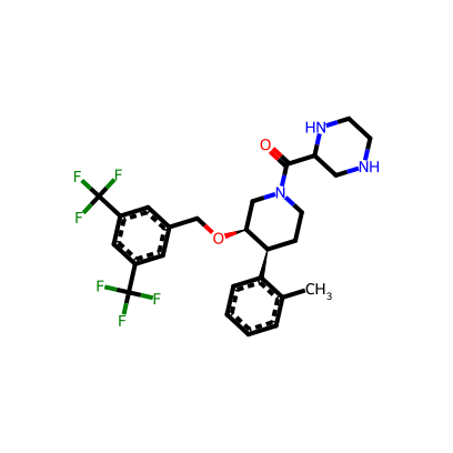 Cc1ccccc1[C@@H]1CCN(C(=O)C2CNCCN2)C[C@@H]1OCc1cc(C(F)(F)F)cc(C(F)(F)F)c1